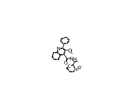 COc1c(-c2ccccc2)nc2ccccc2c1C(=O)NC(C)c1cccc[n+]1[O-]